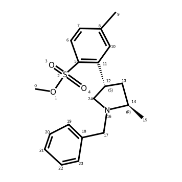 COS(=O)(=O)c1ccc(C)cc1[C@@H]1C[C@@H](C)N(Cc2ccccc2)C1